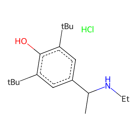 CCNC(C)c1cc(C(C)(C)C)c(O)c(C(C)(C)C)c1.Cl